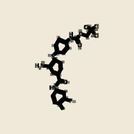 Cc1ccc(NC(=O)c2ccc(Sc3ccc(NC(=O)OCC(Cl)(Cl)Cl)cc3)c(N)c2)cc1F